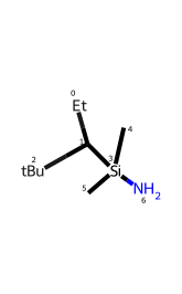 CCC(C(C)(C)C)[Si](C)(C)N